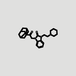 O=C(Cn1c(=O)n(CCN2CCCCC2)c2ccccc21)C12CC3CC(CC(C3)C1)C2